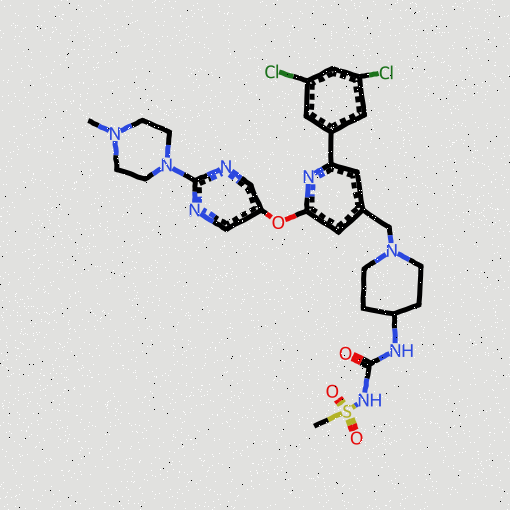 CN1CCN(c2ncc(Oc3cc(CN4CCC(NC(=O)NS(C)(=O)=O)CC4)cc(-c4cc(Cl)cc(Cl)c4)n3)cn2)CC1